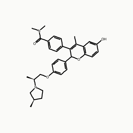 CC1=C(c2ccc(C(=O)N(C)C)cc2)C(c2ccc(OC[C@H](C)N3CC[C@@H](C)C3)cc2)Oc2ccc(O)cc21